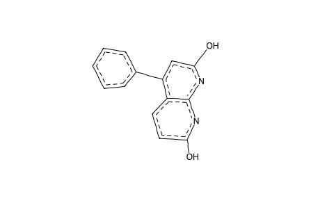 Oc1ccc2c(-c3ccccc3)cc(O)nc2n1